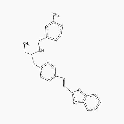 CCC(NCc1cccc(C)c1)Oc1ccc(C=Cc2nc3ccccc3o2)cc1